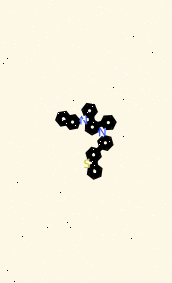 c1cc(-c2ccc3sc4ccccc4c3c2)cc(-n2c3ccccc3c3c4c5ccccc5n(-c5ccc6ccccc6c5)c4ccc32)c1